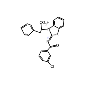 O=C(/N=c1\sc2ccccc2n1C(Cc1ccccc1)C(=O)O)c1cccc(Cl)c1